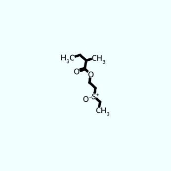 CCC(C)C(=O)OCC[S+]([O-])CC